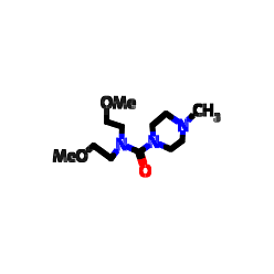 COCCN(CCOC)C(=O)N1CCN(C)CC1